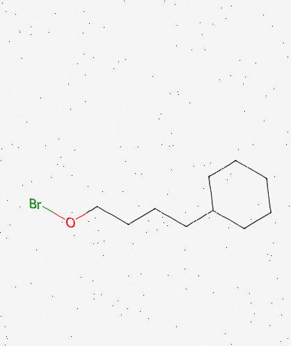 BrOCCCCC1CCCCC1